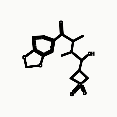 CC(C(=O)c1ccc2c(c1)OCO2)N(C)C(O)C1CS(=O)(=O)C1